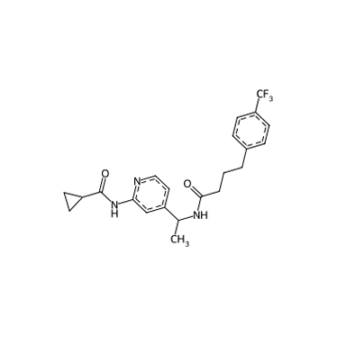 CC(NC(=O)CCCc1ccc(C(F)(F)F)cc1)c1ccnc(NC(=O)C2CC2)c1